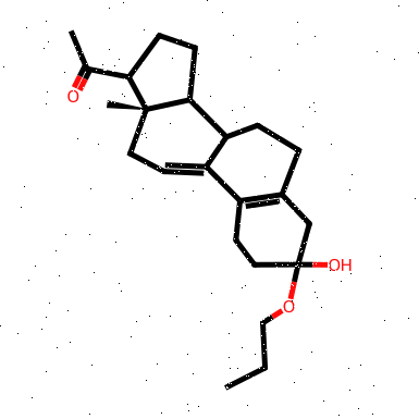 CCCOC1(O)CCC2=C(CCC3C2=CC[C@]2(C)C(C(C)=O)CCC32)C1